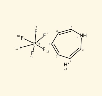 C1=CC=CNC=C1.F[P-](F)(F)(F)(F)F.[H+]